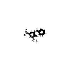 Cc1cc([N+](=O)[O-])ccc1Oc1ccccc1Br